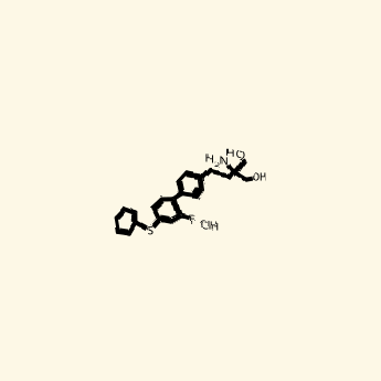 Cl.NC(CO)(CO)CCc1ccc(-c2ccc(Sc3ccccc3)cc2F)cc1